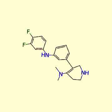 CN(C)C1=C(c2cccc(Nc3ccc(F)c(F)c3)c2)CNCC1